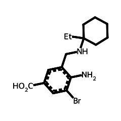 CCC1(NCc2cc(C(=O)O)cc(Br)c2N)CCCCC1